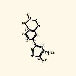 CC1CCc2cc(-c3ccc(F)c(F)c3)ccc2C1